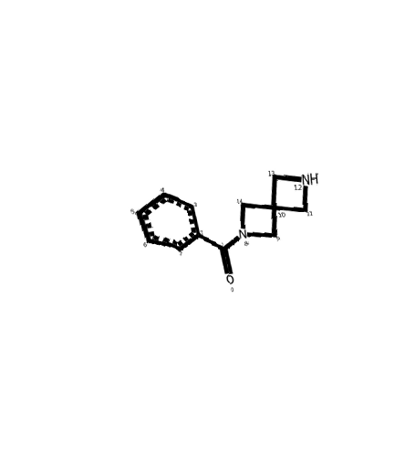 O=C(c1ccccc1)N1CC2(CNC2)C1